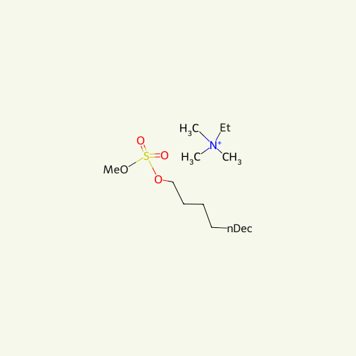 CCCCCCCCCCCCCCOS(=O)(=O)OC.CC[N+](C)(C)C